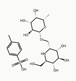 C[C@@H]1O[C@H](OC[C@H]2N[C@H](CO)[C@@H](O)[C@H](O)[C@H]2O)[C@@H](O)[C@H](O)[C@@H]1O.Cc1ccc(S(=O)(=O)O)cc1